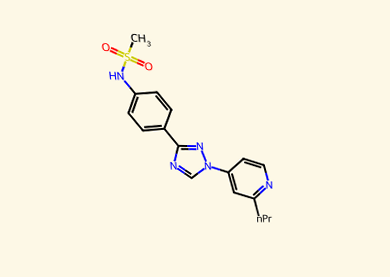 CCCc1cc(-n2cnc(-c3ccc(NS(C)(=O)=O)cc3)n2)ccn1